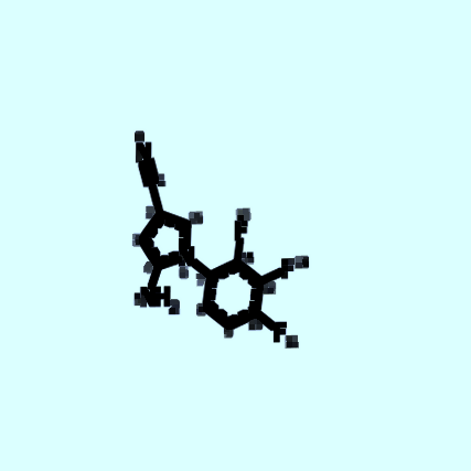 N#Cc1cc(N)n(-c2ccc(F)c(F)c2F)c1